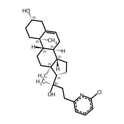 C[C@]12CC[C@H]3[C@@H](CC=C4C[C@@H](O)CC[C@@]43C)[C@@H]1CC[C@@H]2[C@](C)(O)CCc1cccc(Cl)n1